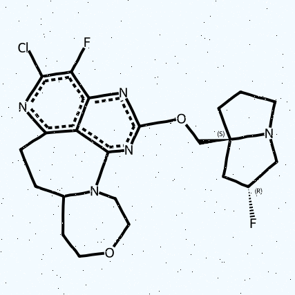 Fc1c(Cl)nc2c3c(nc(OC[C@@]45CCCN4C[C@H](F)C5)nc13)N1CCOCCC1CC2